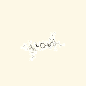 CCCCOC(COCC)(OCC)OC(=O)c1ccc(C(=O)OC(COCC)(OCC)OCCCC)cc1